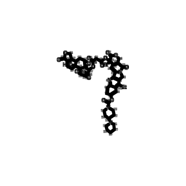 CCc1c2c(nc3ccc(OC(=O)N4CCC(N5CCCCC5)CC4)cc13)-c1cc3c(c(=O)n1C2)COC(=O)C3(CC)OC(=O)CC(=O)OC1C2(C(C)C)OC2C2OC23C2(C)CCC4=C(COC4=O)C2CC2OC213